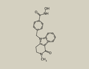 CN1CCc2c(c3ccccc3n2Cc2ccc(C(=O)NO)cc2)C1=O